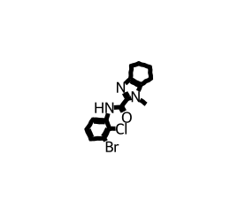 Cn1c(C(=O)Nc2cccc(Br)c2Cl)nc2c1CCCC2